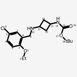 CCOc1ccc(Cl)cc1CNC1CC(NC(=O)OC(C)(C)C)C1